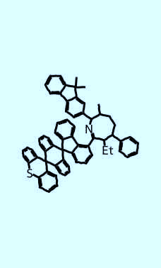 CCC1/C(c2cccc3c2-c2ccccc2C32c3ccccc3C3(c4ccccc4Sc4ccccc43)c3ccccc32)=N\C(c2ccc3c(c2)C(C)(C)c2ccccc2-3)C(C)CCC1c1ccccc1